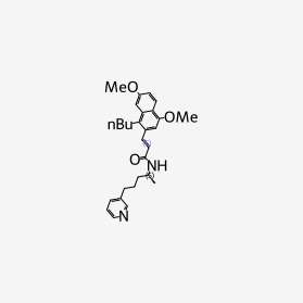 CCCCc1c(/C=C/C(=O)N[C@@H](C)CCCc2cccnc2)cc(OC)c2ccc(OC)cc12